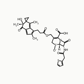 CC1=C(CCC(=O)OCC2=C(C(=O)O)N3C(=O)[C@H](NC(=O)Cc4cccs4)[C@@H]3[S+]([O-])C2)C2=C(C)C3(CC3)[C@@](C)(O)C(=O)C2=C1